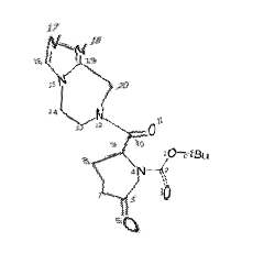 CC(C)(C)OC(=O)N1C(=O)CCC1C(=O)N1CCn2cnnc2C1